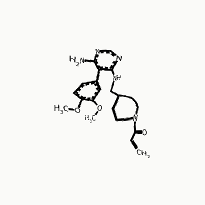 C=CC(=O)N1CCC(CNc2ncnc(N)c2-c2ccc(OC)c(OC)c2)CC1